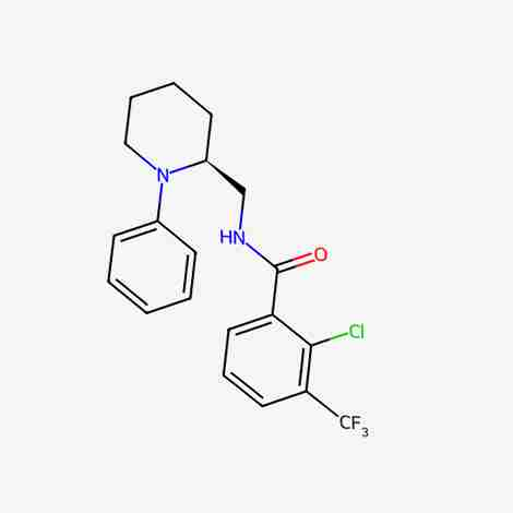 O=C(NC[C@@H]1CCCCN1c1ccccc1)c1cccc(C(F)(F)F)c1Cl